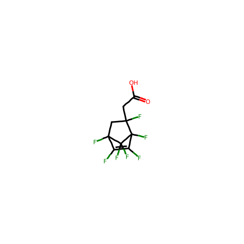 O=C(O)CC1(F)CC2(F)C(F)=C(F)C1(F)C2(F)F